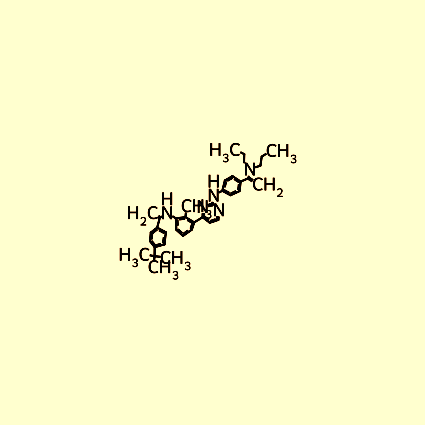 C=C(Nc1cccc(-c2ccnc(Nc3ccc(C(=C)N(CCC)CCC)cc3)n2)c1C)c1ccc(C(C)(C)C)cc1